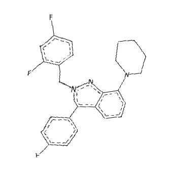 Fc1ccc(-c2c3cccc(N4CCCCC4)c3nn2Cc2ccc(F)cc2F)cc1